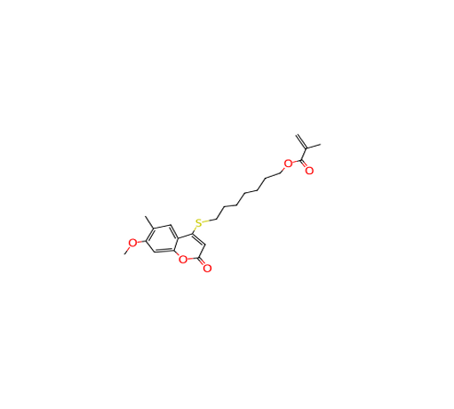 C=C(C)C(=O)OCCCCCCCSc1cc(=O)oc2cc(OC)c(C)cc12